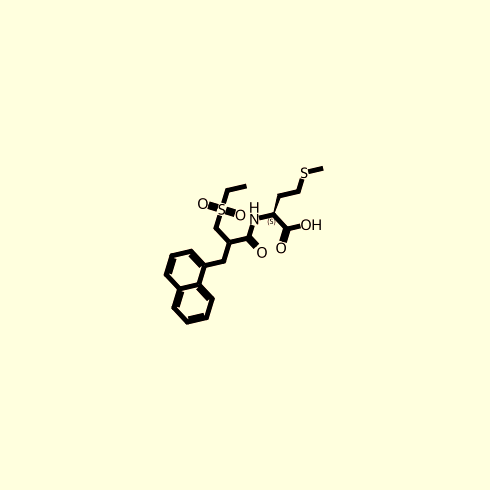 CCS(=O)(=O)CC(Cc1cccc2ccccc12)C(=O)N[C@@H](CCSC)C(=O)O